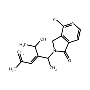 C=C(C)/C=C(\C(C)O)C(C)N1Cc2c(ccnc2Cl)C1=O